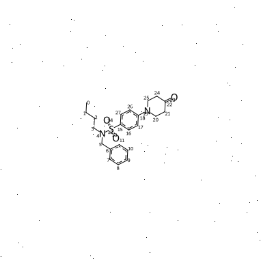 CCCCN(Cc1ccccc1)S(=O)(=O)c1ccc(N2CCC(=O)CC2)cc1